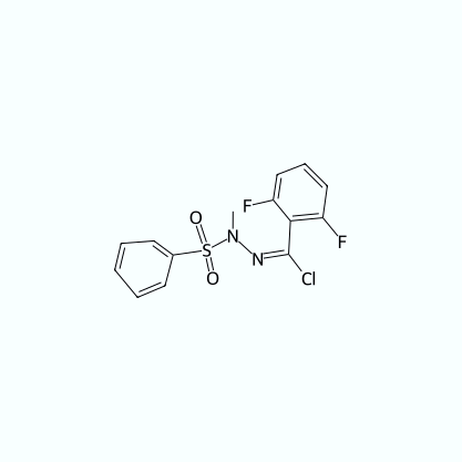 CN(/N=C(/Cl)c1c(F)cccc1F)S(=O)(=O)c1ccccc1